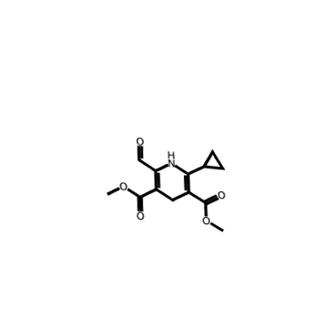 COC(=O)C1=C(C=O)NC(C2CC2)=C(C(=O)OC)C1